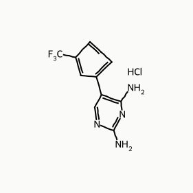 Cl.Nc1ncc(-c2cccc(C(F)(F)F)c2)c(N)n1